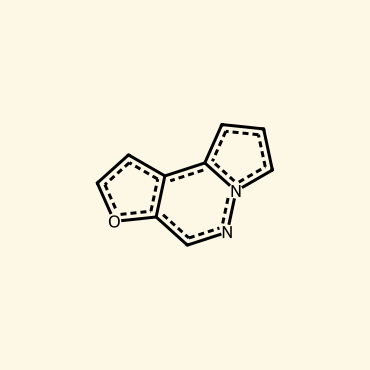 c1cc2c3ccoc3cnn2c1